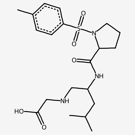 Cc1ccc(S(=O)(=O)N2CCCC2C(=O)NC(CNCC(=O)O)CC(C)C)cc1